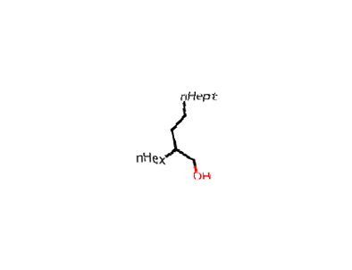 CCCCCCCCCC(CO)CCCCCC